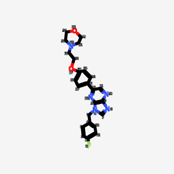 Fc1ccc(Cn2cnc3ncc(-c4ccc(OCCN5CCOCC5)cc4)nc32)cc1